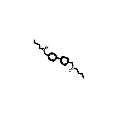 CCCC[S+]([O-])Cc1ccc(-c2ccc(C[S+]([O-])CCCC)cc2)cc1